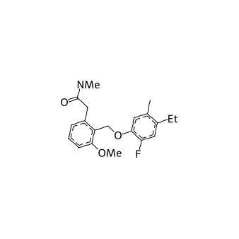 CCc1cc(F)c(OCc2c(CC(=O)NC)cccc2OC)cc1C